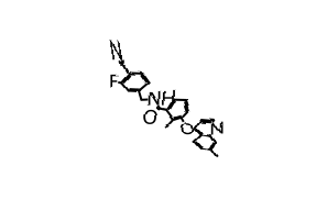 Cc1ccc2c(Oc3cccc(C(=O)NCc4ccc(C#N)c(F)c4)c3C)ccnc2c1